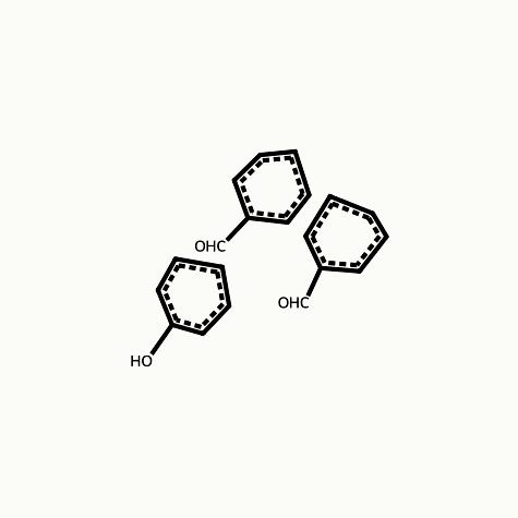 O=Cc1ccccc1.O=Cc1ccccc1.Oc1ccccc1